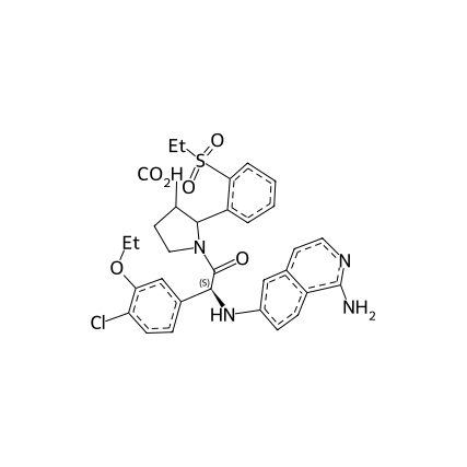 CCOc1cc([C@H](Nc2ccc3c(N)nccc3c2)C(=O)N2CCC(C(=O)O)C2c2ccccc2S(=O)(=O)CC)ccc1Cl